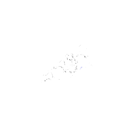 C=CCC[C@@H](C[C@@H]1CCCO1)S(=O)(=O)NC(=O)c1ccc2c(c1)N(C[C@@H]1CC[C@H]1[C@@H](O)/C=C/CCC)CCCCc1cc(Cl)ccc1CO2